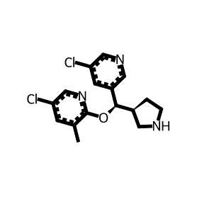 Cc1cc(Cl)cnc1O[C@@H](c1cncc(Cl)c1)[C@H]1CCNC1